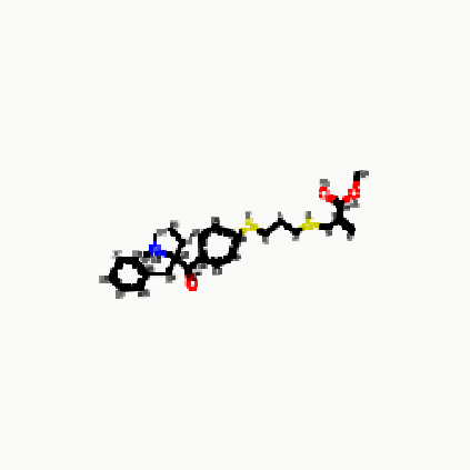 C=C(CSCCCSc1ccc(C(=O)C(CC)(Cc2ccccc2)N(C)C)cc1)C(=O)OC